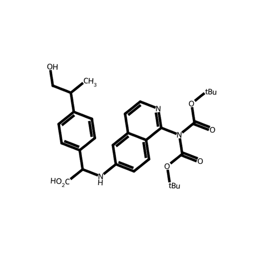 CC(CO)c1ccc(C(Nc2ccc3c(N(C(=O)OC(C)(C)C)C(=O)OC(C)(C)C)nccc3c2)C(=O)O)cc1